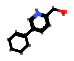 OCc1ccc(C2=CCCCC2)cn1